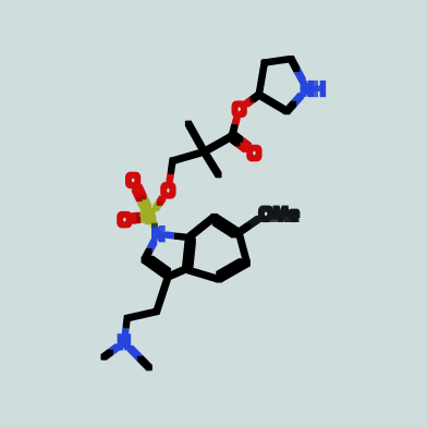 COc1ccc2c(CCN(C)C)cn(S(=O)(=O)OCC(C)(C)C(=O)OC3CCNC3)c2c1